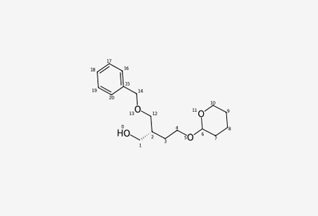 OC[C@@H](CCOC1CCCCO1)COCc1ccccc1